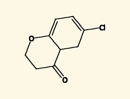 O=C1CCOC2=CC=C(Cl)CC12